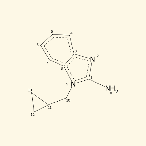 Nc1nc2ccccc2n1CC1CC1